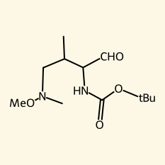 CON(C)CC(C)C(C=O)NC(=O)OC(C)(C)C